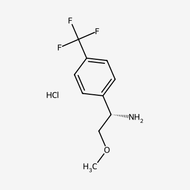 COC[C@@H](N)c1ccc(C(F)(F)F)cc1.Cl